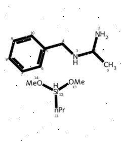 CC(N)NCc1ccccc1.CCC[SiH](OC)OC